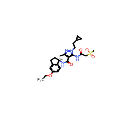 CS(=O)(=O)CC(=O)Nc1c2c(nn1CCC1CC1)C[C@]1(CCc3cc(OCC(F)(F)F)ccc31)NC2=O